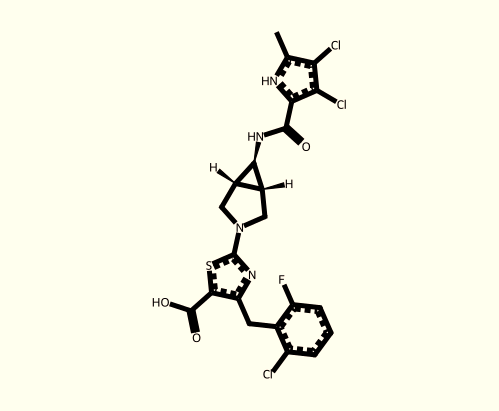 Cc1[nH]c(C(=O)N[C@H]2[C@@H]3CN(c4nc(Cc5c(F)cccc5Cl)c(C(=O)O)s4)C[C@@H]32)c(Cl)c1Cl